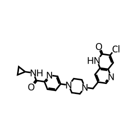 O=C(NC1CC1)c1ccc(N2CCN(Cc3cnc4cc(Cl)c(=O)[nH]c4c3)CC2)cn1